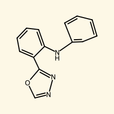 c1ccc(Nc2ccccc2-c2nnco2)cc1